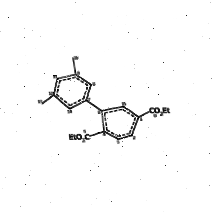 CCOC(=O)c1ccc(C(=O)OCC)c(-c2cc(C)cc(C)c2)c1